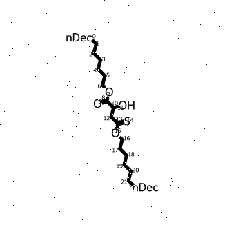 CCCCCCCCCCCCCCCCOC(=O)C(O)CC(=S)OCCCCCCCCCCCCCCCC